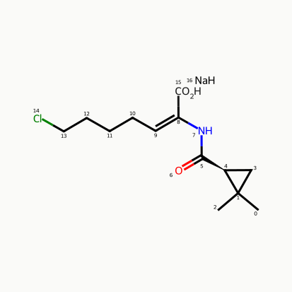 CC1(C)C[C@@H]1C(=O)NC(=CCCCCCl)C(=O)O.[NaH]